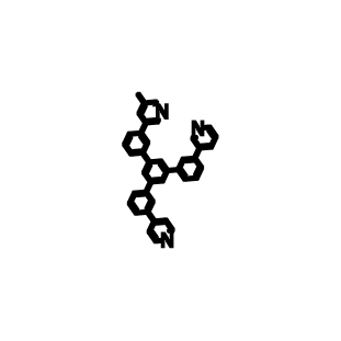 Cc1cncc(-c2cccc(-c3cc(-c4cccc(-c5ccncc5)c4)cc(-c4cccc(-c5cccnc5)c4)c3)c2)c1